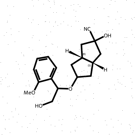 COc1ccccc1C(CO)OC1C[C@@H]2CC(O)(C#N)C[C@@H]2C1